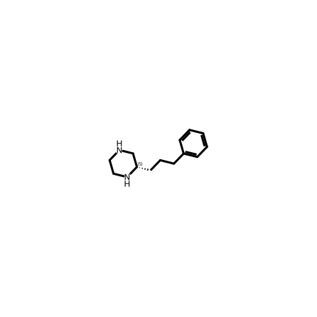 c1ccc(CCC[C@H]2CNCCN2)cc1